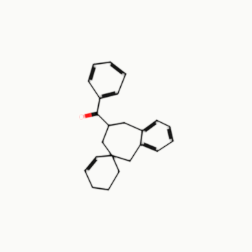 O=C(c1ccccc1)C1Cc2ccccc2CC2(C=CCCC2)C1